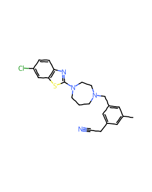 Cc1cc(CC#N)cc(CN2CCCN(c3nc4ccc(Cl)cc4s3)CC2)c1